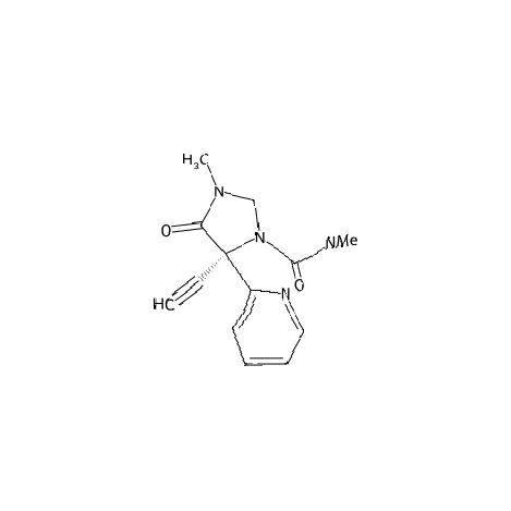 C#C[C@]1(c2ccccn2)C(=O)N(C)CN1C(=O)NC